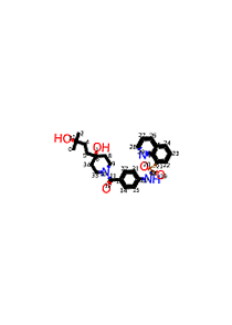 CC(C)(O)CCC1(O)CCN(C(=O)c2ccc(NS(=O)(=O)c3cccc4cccnc34)cc2)CC1